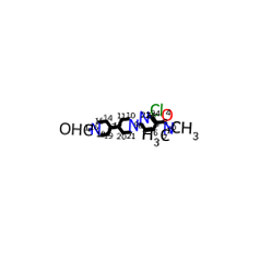 CN(C)C(=O)c1ccc(N2CCC(C3CCN(C=O)CC3)CC2)nc1Cl